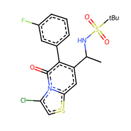 CC(NS(=O)(=O)C(C)(C)C)c1cc2scc(Cl)n2c(=O)c1-c1cccc(F)c1